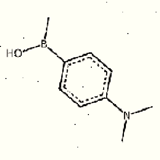 CB(O)c1ccc(N(C)C)cc1